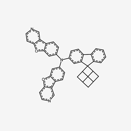 c1ccc2c(c1)-c1ccc(N(c3ccc4c(c3)oc3ccncc34)c3ccc4c(c3)oc3ccncc34)cc1C21C2CC3CC4CC1C342